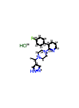 CC(c1cn[nH]c1)N1CCN(c2ncccc2-c2ccc(F)cc2)CC1.Cl